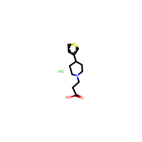 Cl.O=C(O)CCN1CCC(c2ccsc2)CC1